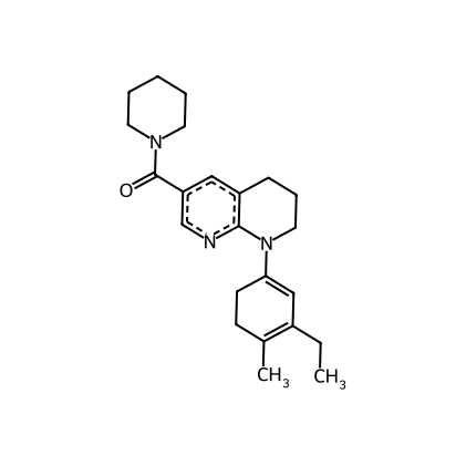 CCC1=C(C)CCC(N2CCCc3cc(C(=O)N4CCCCC4)cnc32)=C1